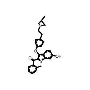 Cc1ccccc1C(=O)c1sc2cc(O)ccc2c1Oc1ccc(CCN2CC(C)C2)cc1